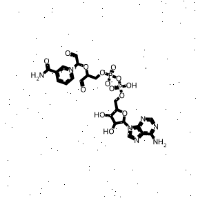 NC(=O)c1ccc[n+](C(C=O)OC(C=O)COP(=O)([O-])OP(=O)(O)OCC2OC(n3cnc4c(N)ncnc43)C(O)C2O)c1